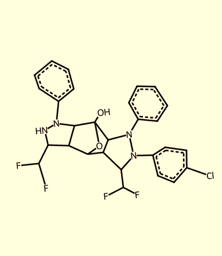 OC12OC(C3C(C(F)F)NN(c4ccccc4)C31)C1C(C(F)F)N(c3ccc(Cl)cc3)N(c3ccccc3)C12